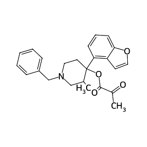 CC(=O)C(=O)OC1(c2cccc3occc23)CCN(Cc2ccccc2)CC1C